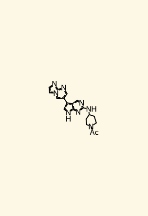 CC(=O)N1CCC(Nc2ncc3c(-c4cnc5nccn5c4)c[nH]c3n2)CC1